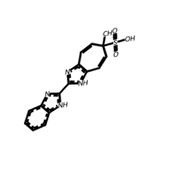 CC1(S(=O)(=O)O)C=Cc2nc(-c3nc4ccccc4[nH]3)[nH]c2C=C1